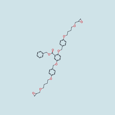 O=C(OCc1ccccc1)c1cc(OCc2ccc(OCCCCOCC3CO3)cc2)ccc1OCc1ccc(OCCCCOCC2CO2)cc1